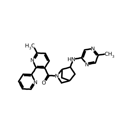 Cc1cnc(NC2CC3CC2N(C(=O)c2ccc(C)nc2-c2ccccn2)C3)cn1